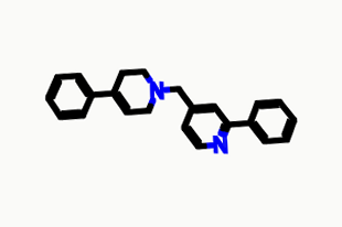 C1=C(c2ccccc2)CCN(Cc2ccnc(-c3ccccc3)c2)C1